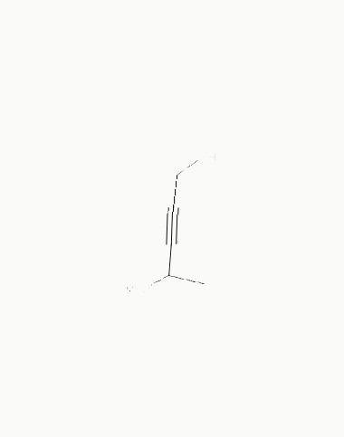 COC(C)C#CCO